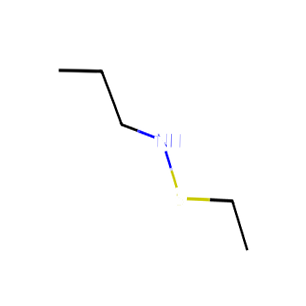 CCCNSCC